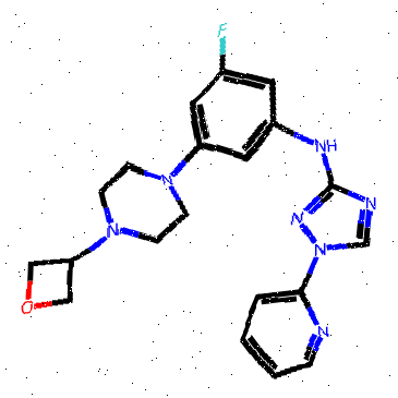 Fc1cc(Nc2ncn(-c3ccccn3)n2)cc(N2CCN(C3COC3)CC2)c1